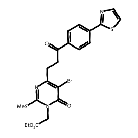 CCOC(=O)Cn1c(SC)nc(CCC(=O)c2ccc(-c3nccs3)cc2)c(Br)c1=O